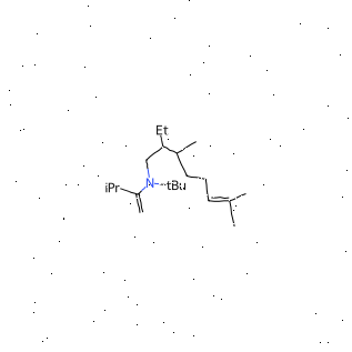 C=C(C(C)C)N(CC(CC)C(C)CCC=C(C)C)C(C)(C)C